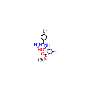 CC(C)(C)OC(=O)N1C[C@H](F)C[C@H]1C(O)NC(N)c1ccc(Br)cc1